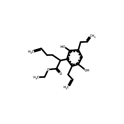 C=CCCC(C(=O)OCC)c1c(O)c(CC=C)cc(O)c1CC=C